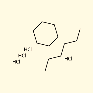 C1CCCCC1.CCCCCC.Cl.Cl.Cl.Cl